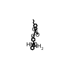 CCCc1ccc2cc(N(C=O)CCOc3ccc(C(=O)Nc4ccccc4N)cc3)oc2c1